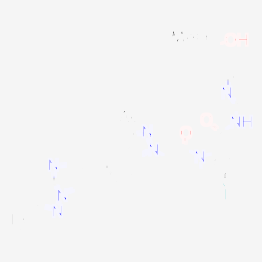 COC(O)Cc1cccc(NC(=O)[C@@H]2C[C@@H](F)CN2C(=O)Cn2nc(C(C)=O)c3cc(-c4cnc5cc(C)nn5c4)ccc32)n1